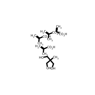 C=C(C)C(=O)O.C=C(C)C(=O)O.C=C(C)C(=O)O.C=CC(=O)O.CC(CO)(CO)CO